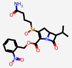 CC(C)C1C(=O)N2C(C(=O)OCc3ccccc3[N+](=O)[O-])=C([S+]([O-])CCCC(N)=O)CC12